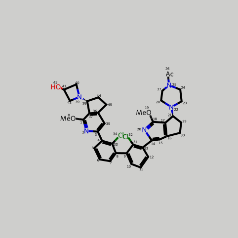 COc1nc(-c2cccc(-c3cccc(-c4cc5c(c(OC)n4)[C@@H](N4CCN(C(C)=O)CC4)CC5)c3Cl)c2Cl)cc2c1[C@H](N1CC(O)C1)CC2